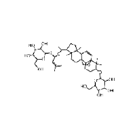 CC(C)=CC(CC(C)C1CCC2(C)C3C=CC45OCC3(CCC12C)C4CCC(OC1OC(CO)C(O)C(O)C1O)C5(C)C)OC1OC(CO)C(O)C(O)C1O